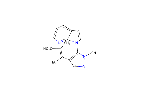 CCC(=C(C)C(=O)O)c1cnn(C)c1-n1ccc2cccnc21